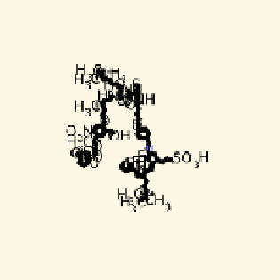 CC(OC(=O)ON1C(=O)CCC1=O)c1cc(CO)c(OCCN(C)CCNC(=O)C(CCCC[N+](C)(C)C)NC(=O)C(CS(=O)(=O)O)NC(=O)CCCOc2ccc(/C=C/C3=[N+]4C(=Cc5c(CCC[N+](C)(C)C)cc(-c6cccs6)n5[B-]4(F)F)C(CCCS(=O)(=O)O)=C3)cc2)cc1[N+](=O)[O-]